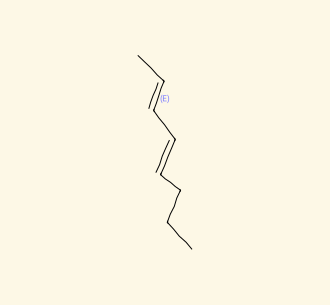 C/C=C/C=CCCC